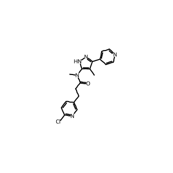 Cc1c(-c2ccncc2)n[nH]c1N(C)C(=O)CCc1ccc(Cl)nc1